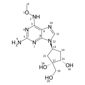 CONc1nc(N)nc2c1ncn2[C@H]1C[C@H](O)[C@@](O)(CO)C1